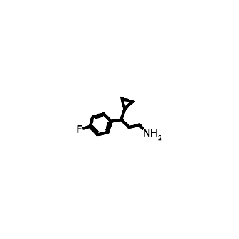 NCCC(c1ccc(F)cc1)C1CC1